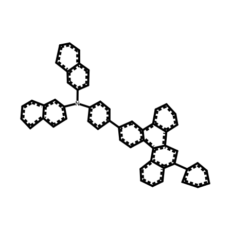 c1ccc(-c2cc3c4ccccc4c4cc(-c5ccc(N(c6ccc7ccccc7c6)c6ccc7ccccc7c6)cc5)ccc4c3c3ccccc23)cc1